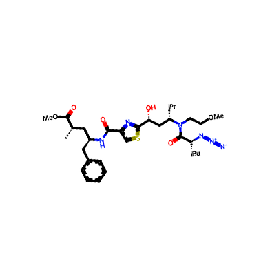 CC[C@@H](C)[C@H](N=[N+]=[N-])C(=O)N(CCOC)[C@H](C[C@@H](O)c1nc(C(=O)N[C@@H](Cc2ccccc2)C[C@H](C)C(=O)OC)cs1)C(C)C